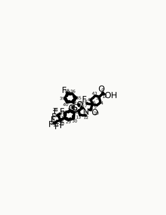 O=C(O)C1CCC(CF)(C(=O)N2CC[C@](c3ccc(C(F)(C(F)(F)F)C(F)(F)F)cc3)(S(=O)(=O)c3ccc(F)cc3)C2)CC1